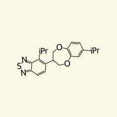 CC(C)c1ccc2c(c1)OCC(c1ccc3nsnc3c1C(C)C)CO2